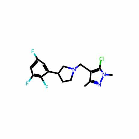 Cc1nn(C)c(Cl)c1CN1CCC(c2cc(F)cc(F)c2F)C1